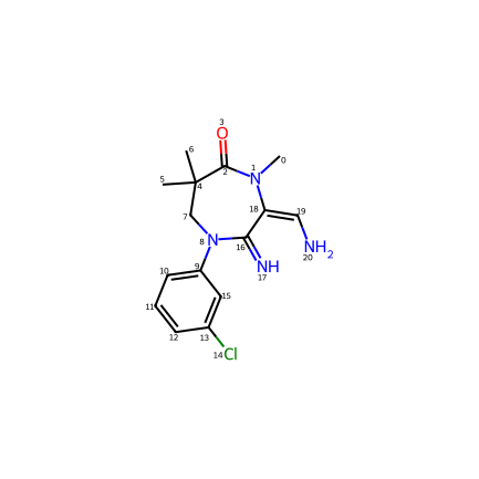 CN1C(=O)C(C)(C)CN(c2cccc(Cl)c2)C(=N)/C1=C\N